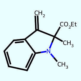 C=C1c2ccccc2N(C)C1(C)C(=O)OCC